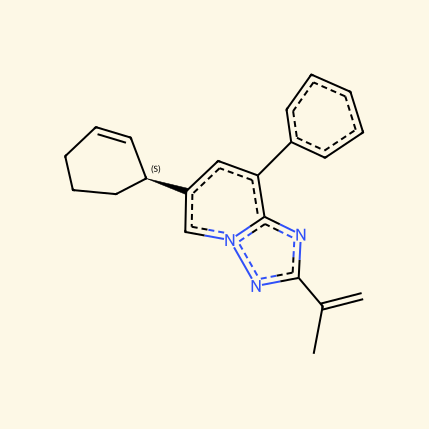 C=C(C)c1nc2c(-c3ccccc3)cc([C@@H]3C=CCCC3)cn2n1